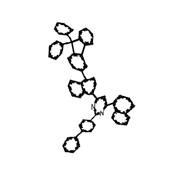 c1ccc(-c2ccc(-c3nc(-c4cccc5ccccc45)cc(-c4ccc(-c5ccc6c(c5)-c5ccccc5C6(c5ccccc5)c5ccccc5)c5ccccc45)n3)cc2)cc1